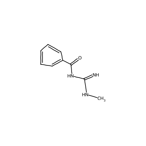 CNC(=N)NC(=O)c1ccccc1